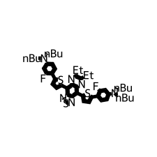 CCCCN(CCCC)c1ccc(-c2ccc(-c3c4nsnc4c(-c4ccc(-c5ccc(N(CCCC)CCCC)cc5F)s4)c4nc(CC)c(CC)nc34)s2)c(F)c1